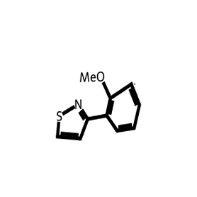 COc1[c]cccc1-c1ccsn1